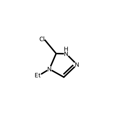 CCN1C=NNC1Cl